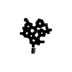 CCCC1C=C(C(C)(C)C)C=[C]1[Zr+2](=[C](c1cccc(Cl)c1)c1cccc(Cl)c1)[CH]1c2cc(C)c(C)cc2-c2cc(C)c(C)cc21.[Cl-].[Cl-]